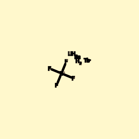 F[B-](F)(F)F.[BaH2].[LiH].[Tb]